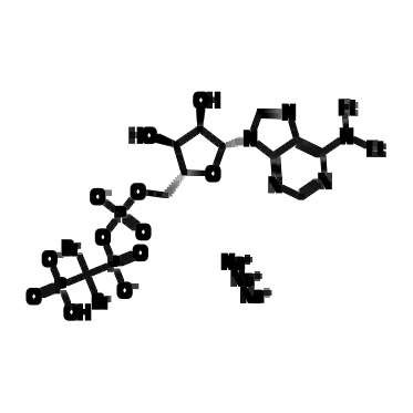 CCN(CC)c1ncnc2c1ncn2[C@@H]1O[C@H](COP(=O)([O-])OP(=O)([O-])C(Br)(Br)P(=O)([O-])O)[C@@H](O)[C@H]1O.[Na+].[Na+].[Na+]